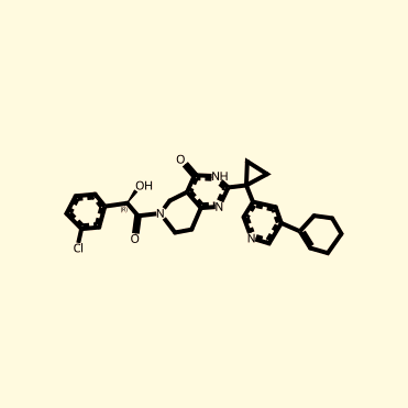 O=C([C@H](O)c1cccc(Cl)c1)N1CCc2nc(C3(c4cncc(C5=CCCCC5)c4)CC3)[nH]c(=O)c2C1